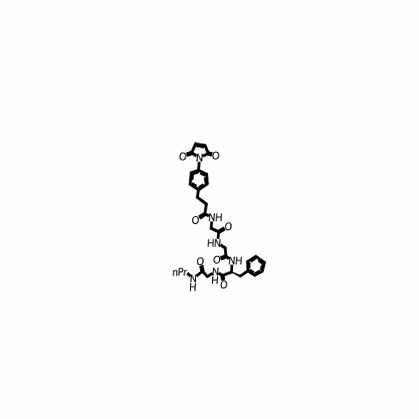 CCCNC(=O)CNC(=O)[C@H](Cc1ccccc1)NC(=O)CNC(=O)CNC(=O)CCc1ccc(N2C(=O)C=CC2=O)cc1